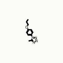 CCCOc1ccc(-n2nnnc2C)cc1